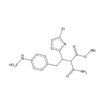 CCc1csc(C(Cc2ccc(NS(=O)(=O)O)cc2)C(C(N)=O)C(=O)OC(C)(C)C)n1